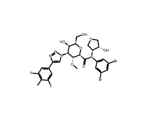 CO[C@@H]1[C@@H](n2cc(-c3cc(F)c(C)c(F)c3)nn2)[C@@H](O)[C@@H](CO)O[C@H]1C(=O)N(c1cc(Br)cc(Br)c1)[C@H]1COC[C@@H]1O